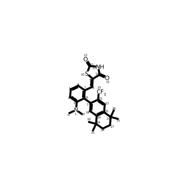 CN(C)c1cccc(C=C2SC(=O)NC2=O)c1-c1cc2c(cc1C(F)(F)F)C(C)(C)CCC2(C)C